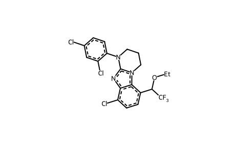 CCOC(c1ccc(Cl)c2nc3n(c12)CCCN3c1ccc(Cl)cc1Cl)C(F)(F)F